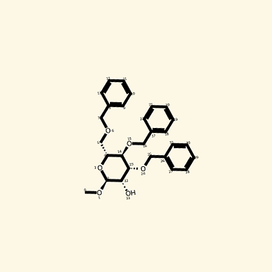 CO[C@H]1O[C@H](COCc2ccccc2)[C@@H](OCc2ccccc2)[C@H](OCc2ccccc2)[C@@H]1O